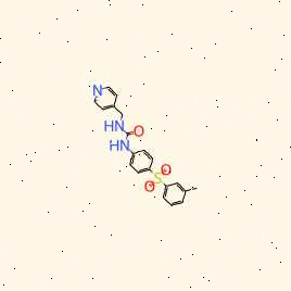 Cc1cccc(S(=O)(=O)c2ccc(NC(=O)NCc3ccncc3)cc2)c1